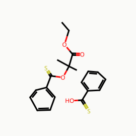 CCOC(=O)C(C)(C)OC(=S)c1ccccc1.OC(=S)c1ccccc1